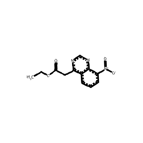 CCOC(=O)Cc1ncnc2c([N+](=O)[O-])cccc12